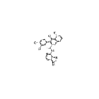 CC(Nc1ncnc2[nH]cnc12)c1cc2cccc(F)c2c(=O)n1-c1ccc(Cl)c(Cl)c1